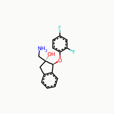 NC[C@]1(O)Cc2ccccc2[C@@H]1Oc1ccc(F)cc1F